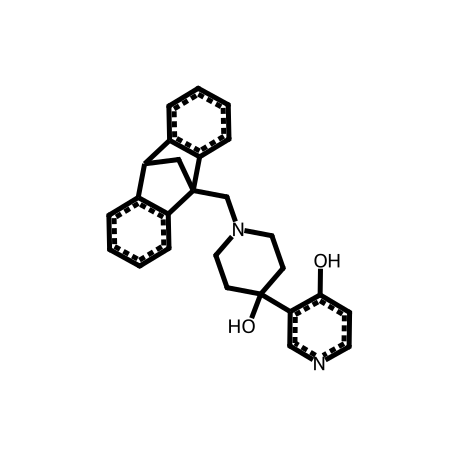 Oc1ccncc1C1(O)CCN(CC23CC(c4ccccc42)c2ccccc23)CC1